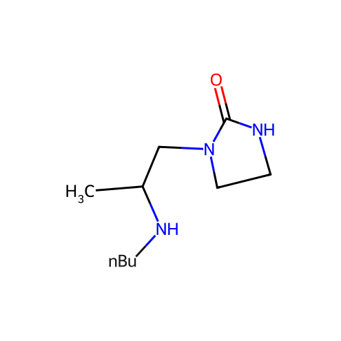 CCCCNC(C)CN1CCNC1=O